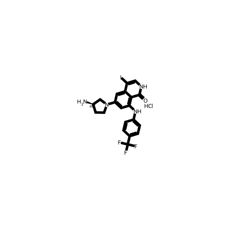 Cl.N[C@@H]1CCN(c2cc(Nc3ccc(C(F)(F)F)cc3)c3c(=O)[nH]cc(I)c3c2)C1